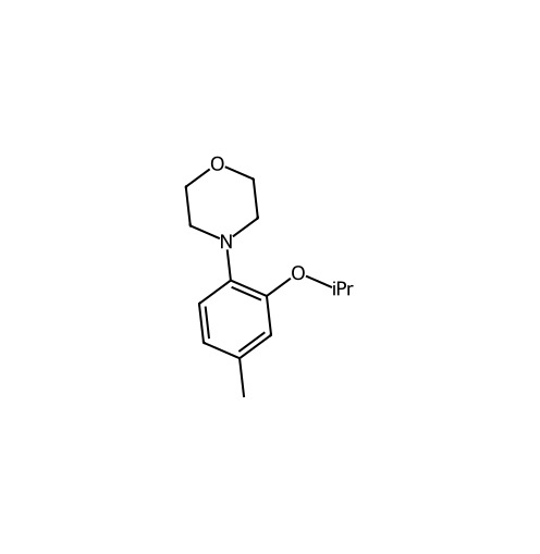 Cc1ccc(N2CCOCC2)c(OC(C)C)c1